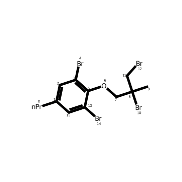 CCCc1cc(Br)c(OCC(C)(Br)CBr)c(Br)c1